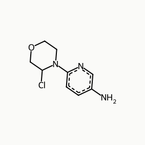 Nc1ccc(N2CCOCC2Cl)nc1